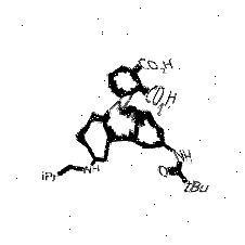 CC(C)CNC1CCc2[nH]c3ccc(NC(=O)C(C)(C)C)cc3c2C1.O=C(O)c1ccccc1C(=O)O